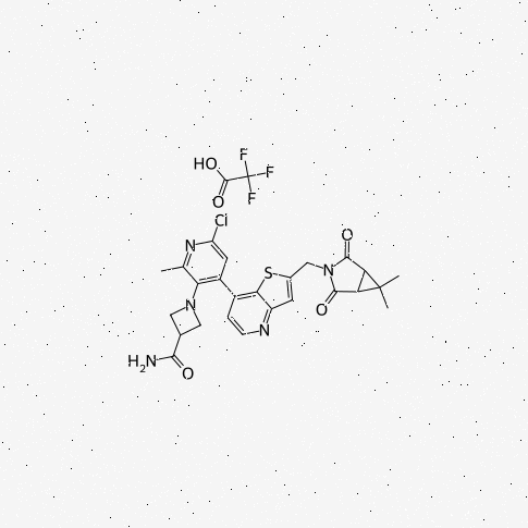 Cc1nc(Cl)cc(-c2ccnc3cc(CN4C(=O)C5C(C4=O)C5(C)C)sc23)c1N1CC(C(N)=O)C1.O=C(O)C(F)(F)F